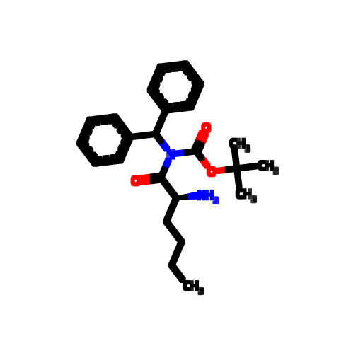 CCCC[C@H](N)C(=O)N(C(=O)OC(C)(C)C)C(c1ccccc1)c1ccccc1